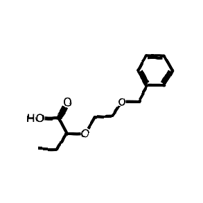 CCC(OCCOCc1ccccc1)C(=O)O